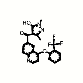 Cc1nn(C)c(O)c1C(=O)c1ccc2nccc(Oc3ccccc3C(F)(F)F)c2c1